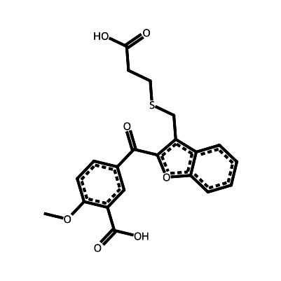 COc1ccc(C(=O)c2oc3ccccc3c2CSCCC(=O)O)cc1C(=O)O